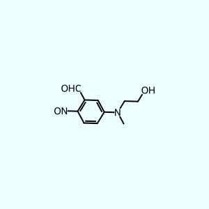 CN(CCO)c1ccc(N=O)c(C=O)c1